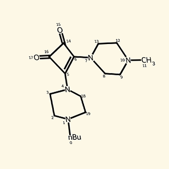 CCCCN1CCN(c2c(N3CCN(C)CC3)c(=O)c2=O)CC1